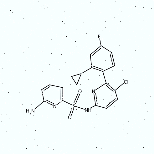 Nc1cccc(S(=O)(=O)Nc2ccc(Cl)c(-c3ccc(F)cc3C3CC3)n2)n1